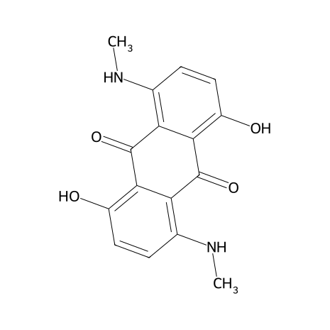 CNc1ccc(O)c2c1C(=O)c1c(O)ccc(NC)c1C2=O